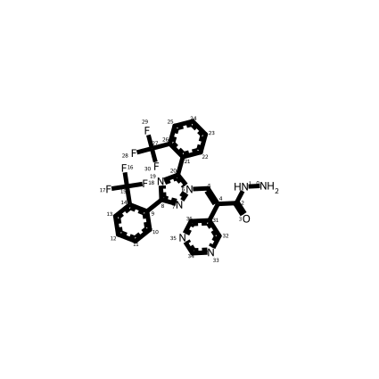 NNC(=O)/C(=C/n1nc(-c2ccccc2C(F)(F)F)nc1-c1ccccc1C(F)(F)F)c1cncnc1